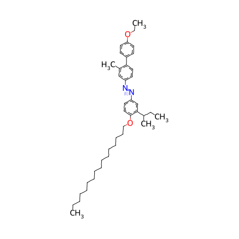 CCCCCCCCCCCCCCCCOc1ccc(/N=N/c2ccc(-c3ccc(OCC)cc3)c(C)c2)cc1C(C)CC